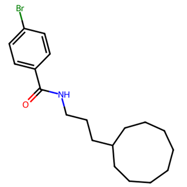 O=C(NCCCC1CCCCCCCC1)c1ccc(Br)cc1